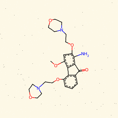 COc1cc(OCCN2CCOCC2)c(N)c2c1-c1c(OCCN3CCOCC3)cccc1C2=O